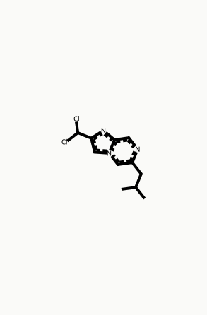 CC(C)Cc1cn2cc(C(Cl)Cl)nc2cn1